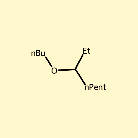 CCCCCC(CC)OCCCC